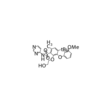 COc1cccc(Oc2c(C(C)(C)C)cc(C)c(S(=O)(=O)Nc3ccncn3)c2OCCO)c1